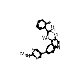 CNc1ncc(-c2ccc3ncc(Cl)c(NC(C)c4ccccc4F)c3c2)cn1